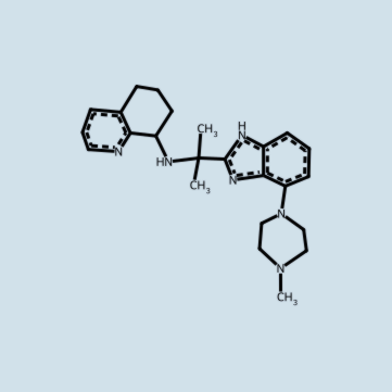 CN1CCN(c2cccc3[nH]c(C(C)(C)NC4CCCc5cccnc54)nc23)CC1